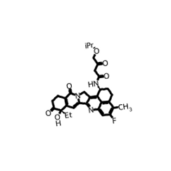 CC[C@@]1(O)C(=O)CCc2c1cc1n(c2=O)Cc2c-1nc1cc(F)c(C)c3c1c2[C@@H](NC(=O)CC(=O)COC(C)C)CC3